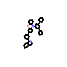 c1ccc(-c2cc(-c3ccccc3)cc(N3c4ccccc4Oc4cc(-c5cccc(-c6nccc7ccccc67)c5)ccc43)c2)cc1